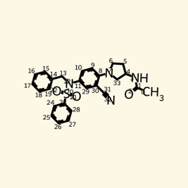 CC(=O)NC1CCN(c2ccc(N(Cc3ccccc3)S(=O)(=O)c3ccccc3)cc2C#N)C1